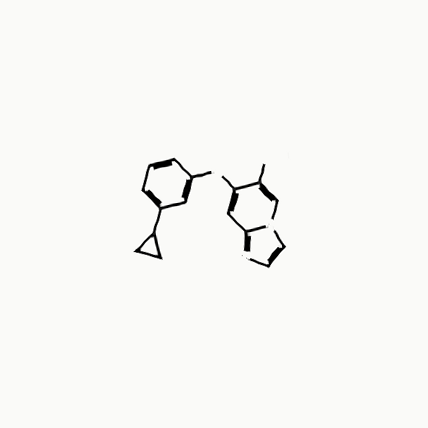 O=C(O)c1cn2ccnc2cc1Oc1cccc(C2CC2)c1